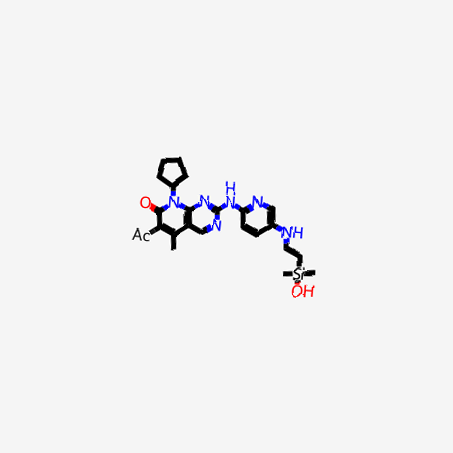 CC(=O)c1c(C)c2cnc(Nc3ccc(NCC[Si](C)(C)O)cn3)nc2n(C2CCCC2)c1=O